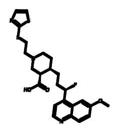 COc1ccc2nccc([C@H](F)CC[C@@H]3CCN(CCSc4nccs4)C[C@@H]3C(=O)O)c2c1